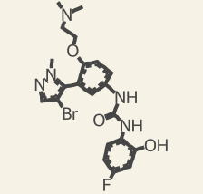 CN(C)CCOc1ccc(NC(=O)Nc2ccc(F)cc2O)cc1-c1c(Br)cnn1C